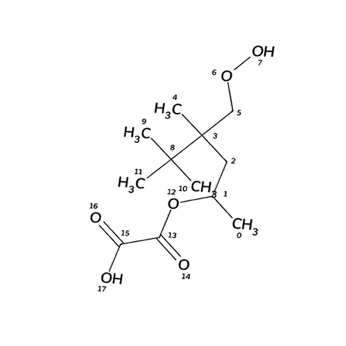 CC(CC(C)(COO)C(C)(C)C)OC(=O)C(=O)O